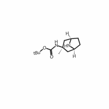 CC(C)(C)OC(=O)N[C@@]1(C)C[C@H]2CC[C@@H](C1)N2